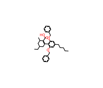 CCCCCc1cc(OCc2ccccc2)c(C2=C(C(=O)O)C(C)CC(CC)C2)c(OCc2ccccc2)c1